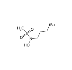 CC(C)(C)CCCN(O)S(C)(=O)=O